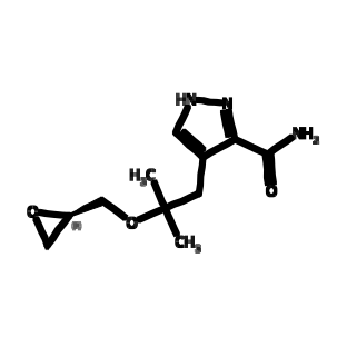 CC(C)(Cc1c[nH]nc1C(N)=O)OC[C@H]1CO1